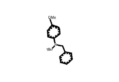 COc1ccc(N(Cc2ccccc2)C(C)(C)C)cc1